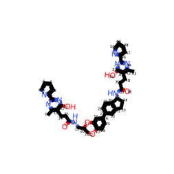 Cc1nc(-c2ccccn2)nc(O)c1CCC(=O)NCC1COc2ccc(-c3ccc4c(c3)CCC4NC(=O)CCc3c(C)nc(-c4ccccn4)nc3O)cc2O1